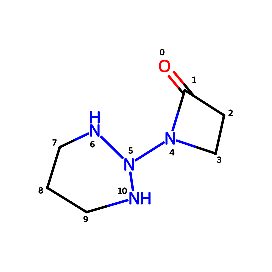 O=C1CCN1N1NCCCN1